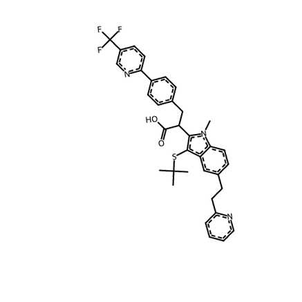 Cn1c(C(Cc2ccc(-c3ccc(C(F)(F)F)cn3)cc2)C(=O)O)c(SC(C)(C)C)c2cc(CCc3ccccn3)ccc21